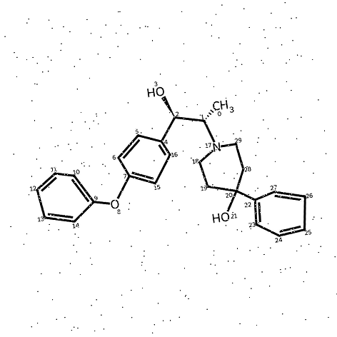 C[C@@H]([C@H](O)c1ccc(Oc2ccccc2)cc1)N1CCC(O)(c2ccccc2)CC1